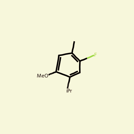 COc1cc(C)c(F)cc1C(C)C